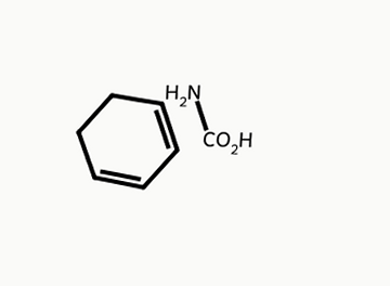 C1=CCCC=C1.NC(=O)O